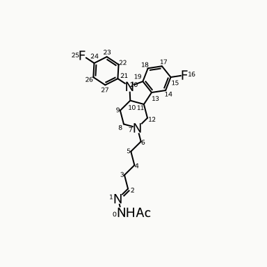 CC(=O)NN=CCCCCN1CCC2C(C1)c1cc(F)ccc1N2c1ccc(F)cc1